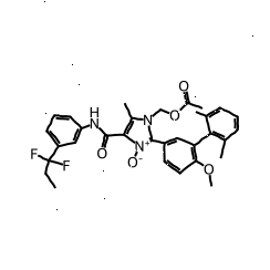 CCC(F)(F)c1cccc(NC(=O)c2c(C)n(COC(C)=O)c(-c3ccc(OC)c(-c4c(C)cccc4C)c3)[n+]2[O-])c1